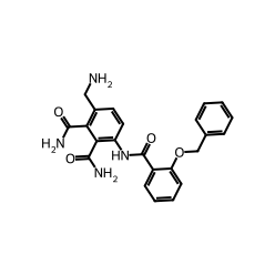 NCc1ccc(NC(=O)c2ccccc2OCc2ccccc2)c(C(N)=O)c1C(N)=O